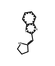 C(=C1\CCCN1)/c1nc2ccccc2s1